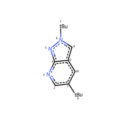 CC(C)(C)c1cnc2nn(C(C)(C)C)cc2c1